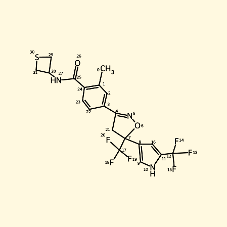 Cc1cc(C2=NOC(c3c[nH]c(C(F)(F)F)c3)(C(F)(F)F)C2)ccc1C(=O)NC1CSC1